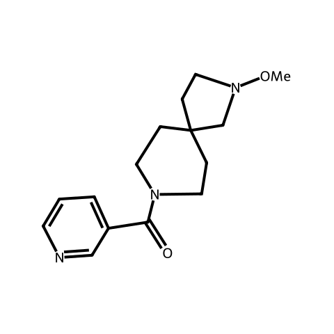 CON1CCC2(CCN(C(=O)c3cccnc3)CC2)C1